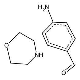 C1COCCN1.Nc1ccc(C=O)cc1